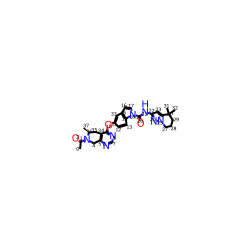 CC(=O)N1Cc2ncnc(Oc3ccc4c(ccn4C(=O)Nc4cc5n(n4)CCCC5(C)C)c3)c2C[C@@H]1C